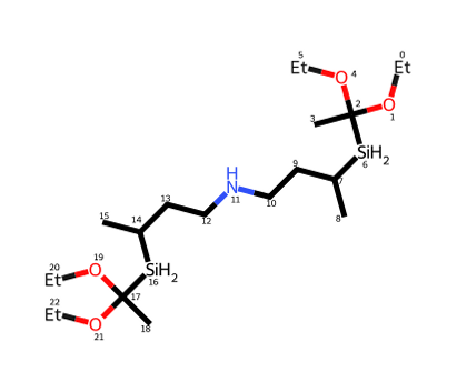 CCOC(C)(OCC)[SiH2]C(C)CCNCCC(C)[SiH2]C(C)(OCC)OCC